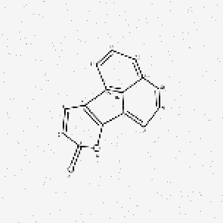 O=c1ccc2c(o1)-c1cccc3cccc-2c13